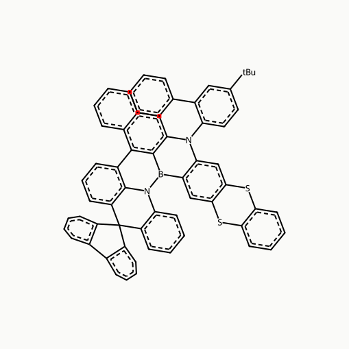 CC(C)(C)c1ccc(N2c3cc4c(cc3B3c5c2cc2ccccc2c5-c2cccc5c2N3c2ccccc2C52c3ccccc3-c3ccccc32)Sc2ccccc2S4)c(-c2ccccc2)c1